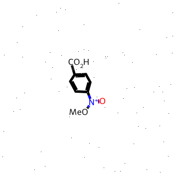 CO[N+](=O)c1ccc(C(=O)O)cc1